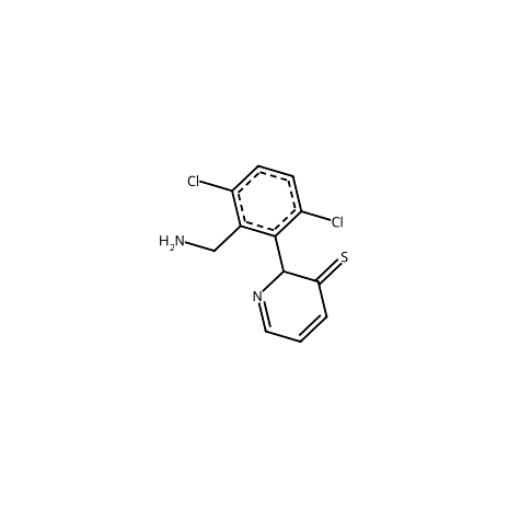 NCc1c(Cl)ccc(Cl)c1C1N=CC=CC1=S